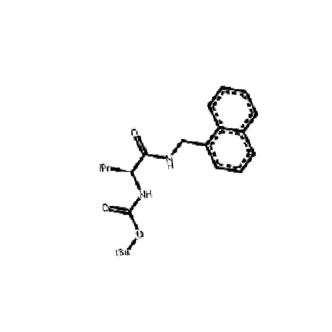 CC(C)[C@H](NC(=O)OC(C)(C)C)C(=O)NCc1cccc2ccccc12